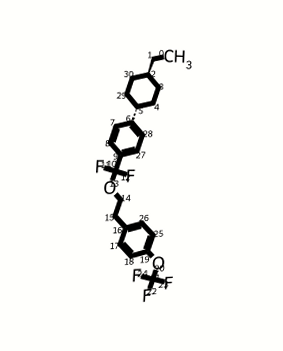 CC[C@H]1CC[C@H](c2ccc(C(F)(F)OCCc3ccc(OC(F)(F)F)cc3)cc2)CC1